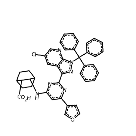 O=C(O)C1C2CCC(CC2)C1Nc1cc(-c2ccoc2)nc(-c2nn(C(c3ccccc3)(c3ccccc3)c3ccccc3)c3ncc(Cl)cc23)n1